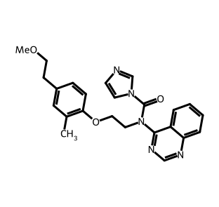 COCCc1ccc(OCCN(C(=O)n2ccnc2)c2ncnc3ccccc23)c(C)c1